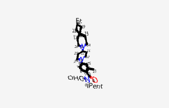 CCCC(C)N(C=O)C(=O)c1ccc(N2CCC(N3CCC4(CC3)CC(CC)C4)CC2)cc1C